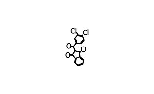 O=C(c1ccc(Cl)c(Cl)c1)C1C(=O)c2ccccc2C1=O